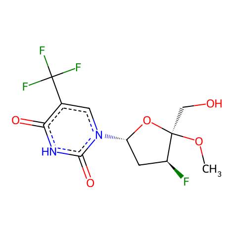 CO[C@]1(CO)O[C@@H](n2cc(C(F)(F)F)c(=O)[nH]c2=O)C[C@@H]1F